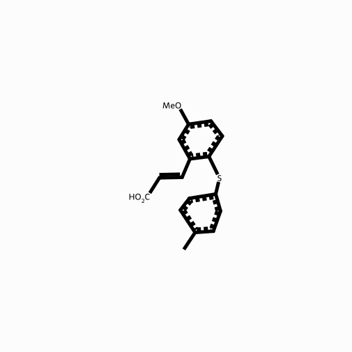 COc1ccc(Sc2ccc(C)cc2)c(/C=C/C(=O)O)c1